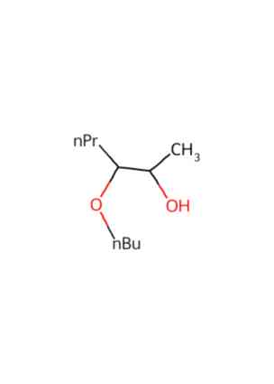 CCCCOC(CCC)C(C)O